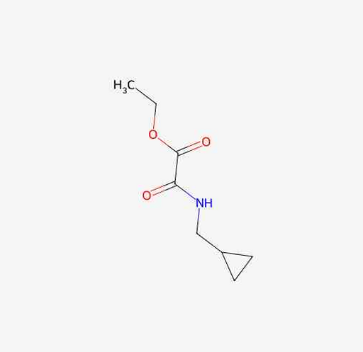 CCOC(=O)C(=O)NCC1CC1